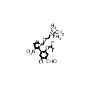 C[Si](C)(C)CCOCn1ncc([N+](=O)[O-])c1-c1cc(Cl)c(C=O)cc1OC(F)F